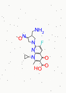 CO/N=C1\CN(c2nc3c(cc2F)c(=O)c(C(=O)O)c(C)n3C2CC2)CC1CN